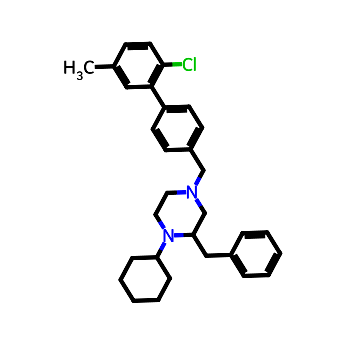 Cc1ccc(Cl)c(-c2ccc(CN3CCN(C4CCCCC4)C(Cc4ccccc4)C3)cc2)c1